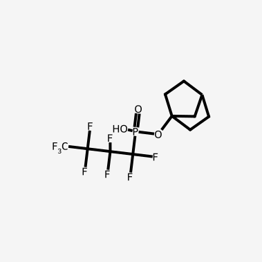 O=P(O)(OC12CCC(CC1)C2)C(F)(F)C(F)(F)C(F)(F)C(F)(F)F